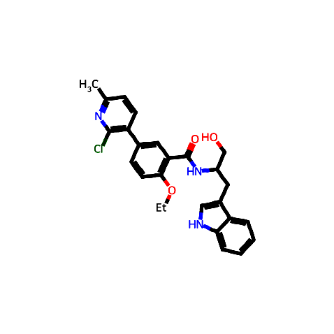 CCOc1ccc(-c2ccc(C)nc2Cl)cc1C(=O)NC(CO)Cc1c[nH]c2ccccc12